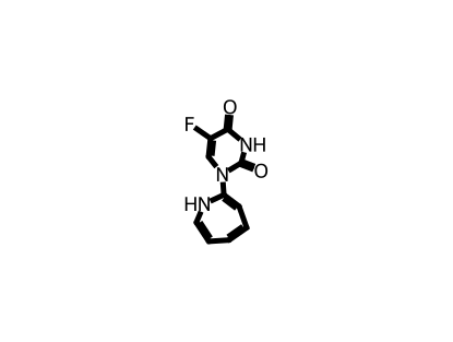 O=c1[nH]c(=O)n(C2=CC=CC=CN2)cc1F